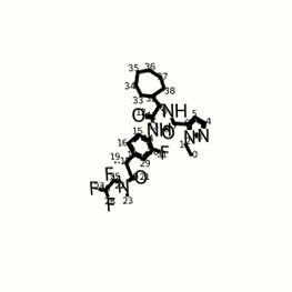 CCn1nccc1C(=O)N[C@H](C(=O)Nc1ccc([C@@H](C)C(=O)N(C)C(F)C(F)F)cc1F)C1CCCCCC1